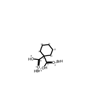 Br.Br.O=C(O)C1(C(=O)O)CCCCC1